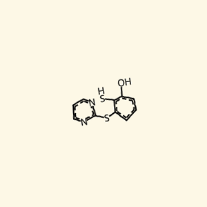 Oc1cccc(Sc2ncccn2)c1S